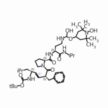 CC(C)C[C@@H](/C=C/[C@H](Cc1ccccc1)C(=O)N1CCC[C@H]1C(=O)N[C@@H](CCNC(O)OC1CC(C)(C)N(O)C(C)(C)C1)C(=O)NC(C)C)NC(=O)OC(C)(C)C